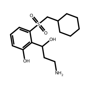 NCCC(O)c1c(O)cccc1S(=O)(=O)CC1CCCCC1